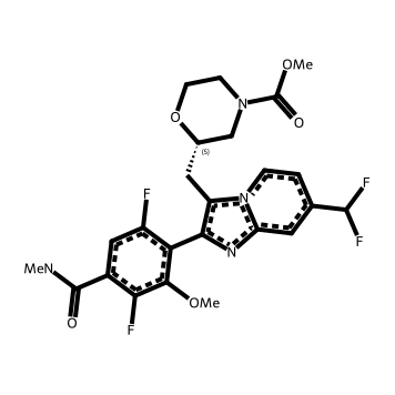 CNC(=O)c1cc(F)c(-c2nc3cc(C(F)F)ccn3c2C[C@H]2CN(C(=O)OC)CCO2)c(OC)c1F